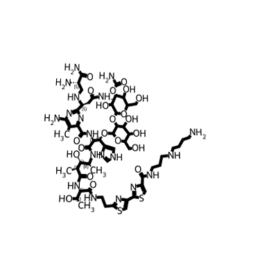 Cc1c(N)nc([C@H](CC(N)=O)NC[C@H](N)C(N)=O)nc1C(=O)N[C@H](C(=O)N[C@H](C)[C@@H](O)[C@H](C)C(=O)N[C@H](C(=O)NCCc1nc(-c2nc(C(=O)NCCCNCCCCN)cs2)cs1)[C@@H](C)O)[C@@H](OC1OC(CO)C(O)C(O)C1OC1OC(CO)C(O)C(OC(N)=O)C1O)c1c[nH]cn1